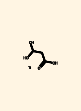 O=C(O)CC(O)O.[Ti]